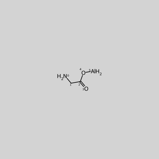 NCC(=O)[O][AlH2]